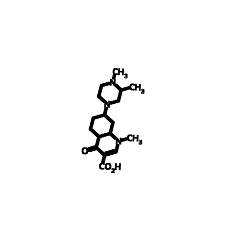 CC1CN(C2CCC3C(=O)C(C(=O)O)=CN(C)C3C2)CCN1C